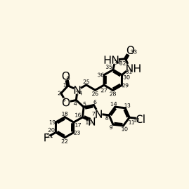 O=C1COC(c2cn(-c3ccc(Cl)cc3)nc2-c2ccc(F)cc2)N1CCc1ccc2[nH]c(=O)[nH]c2c1